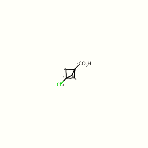 O=C(O)C12CC(Cl)(C1)C2